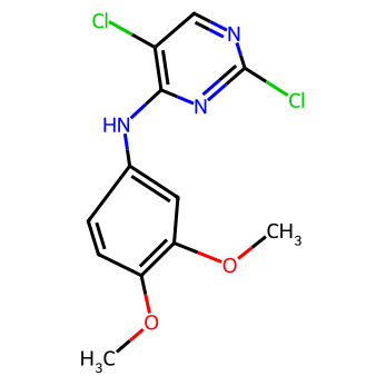 COc1ccc(Nc2nc(Cl)ncc2Cl)cc1OC